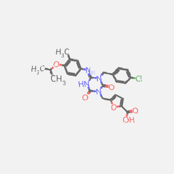 Cc1cc(/N=c2\[nH]c(=O)n(Cc3ccc(C(=O)O)o3)c(=O)n2Cc2ccc(Cl)cc2)ccc1OC(C)C